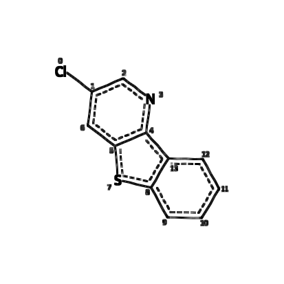 Clc1cnc2c(c1)sc1ccccc12